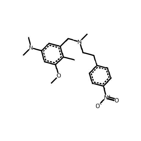 COc1cc(N(C)C)cc(CN(C)CCc2ccc([N+](=O)[O-])cc2)c1C